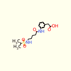 CC(C)S(=O)(=O)NCCCCC(=O)Nc1cccc(CC(=O)O)c1